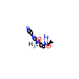 CN(C(=O)c1ccc2c(c1)C(NC(=O)C1CC1)CC2)C1CCN(c2ccc3cnccc3c2)CC1